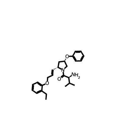 CCc1ccccc1OCC=C[C@@H]1C[C@H](Oc2ccccc2)CN1C(=O)[C@@H](N)C(C)C